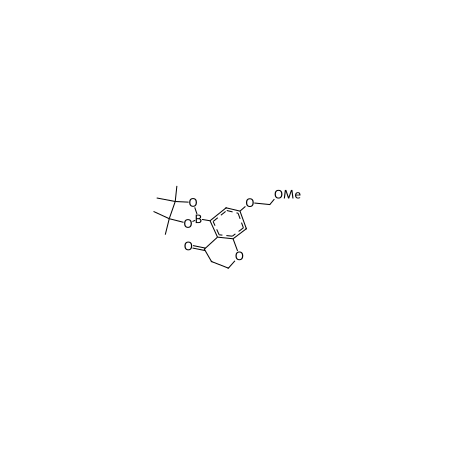 COCOc1cc2c(c(B3OC(C)(C)C(C)(C)O3)c1)C(=O)CCO2